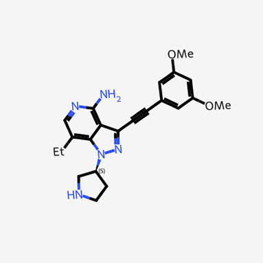 CCc1cnc(N)c2c(C#Cc3cc(OC)cc(OC)c3)nn([C@H]3CCNC3)c12